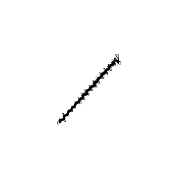 CCCCCCCCCCCCCCCCCCCCCCCCCCCCCCN(C)C